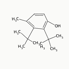 Cc1ccc(O)c(C(C)(C)C)c1C(C)(C)C